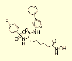 O=C(CCCCC[C@H](NS(=O)(=O)c1ccc(F)cc1)C(=O)Nc1nc(-c2ccccc2)cs1)NO